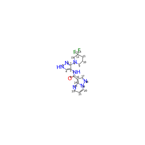 O=C(Nc1c[nH]nc1N1CCCC(F)(F)C1)c1cnn2cccnc12